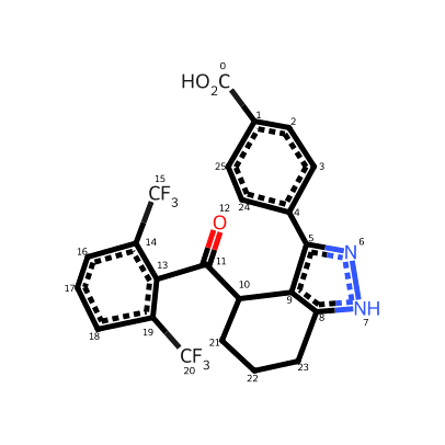 O=C(O)c1ccc(-c2n[nH]c3c2C(C(=O)c2c(C(F)(F)F)cccc2C(F)(F)F)CCC3)cc1